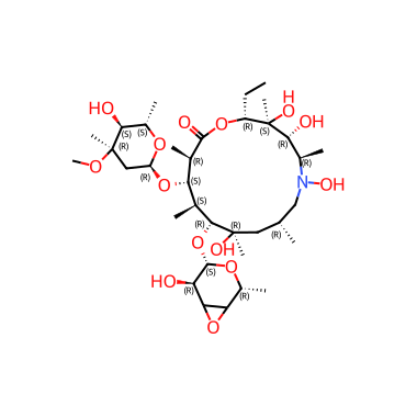 CC[C@H]1OC(=O)[C@H](C)[C@@H](O[C@H]2C[C@@](C)(OC)[C@@H](O)[C@H](C)O2)[C@H](C)[C@@H](O[C@@H]2O[C@H](C)C3OC3[C@H]2O)[C@](C)(O)C[C@@H](C)CN(O)[C@H](C)[C@@H](O)[C@]1(C)O